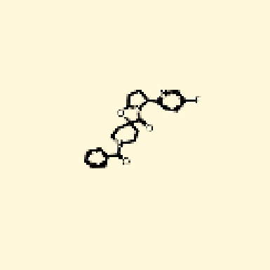 O=C(c1ccccc1)N1CCC2(CC1)OC1CCC(c3ccc(F)cn3)N1C2=O